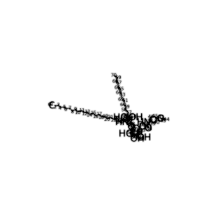 CCCCCCCCCCCCCCCCCCCCCCCCCCN[C@@H](CO[C@H]1O[C@H](COC(=O)Nc2ccc(OCC)cc2)[C@H](O)[C@H](O)[C@H]1O)[C@H](O)[C@H](O)CCCCCCCCCCCCCC